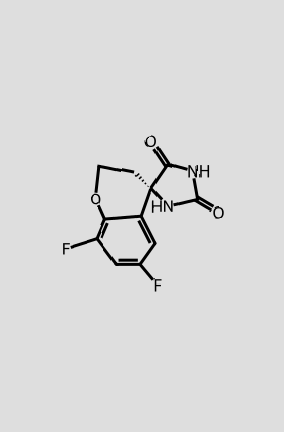 O=C1NC(=O)[C@@]2(CCOc3c(F)cc(F)cc32)N1